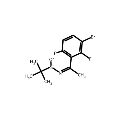 C/C(=N/[S+]([O-])C(C)(C)C)c1c(F)ccc(Br)c1F